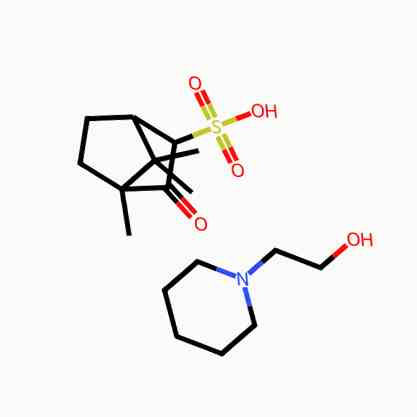 CC12CCC(C(S(=O)(=O)O)C1=O)C2(C)C.OCCN1CCCCC1